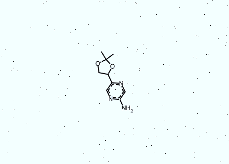 CC1(C)OCC(c2cnc(N)cn2)O1